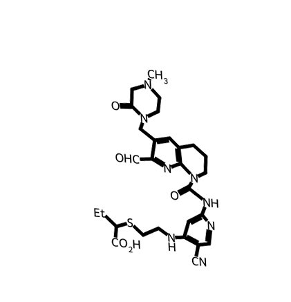 CCC(SCCNc1cc(NC(=O)N2CCCc3cc(CN4CCN(C)CC4=O)c(C=O)nc32)ncc1C#N)C(=O)O